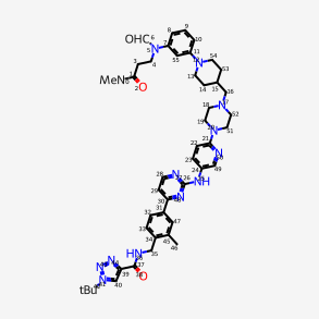 CNC(=O)CCN(C=O)c1cccc(N2CCC(CN3CCN(c4ccc(Nc5nccc(-c6ccc(CNC(=O)c7cn(C(C)(C)C)nn7)c(C)c6)n5)cn4)CC3)CC2)c1